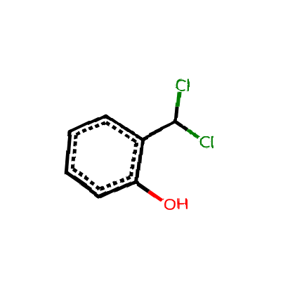 Oc1ccccc1C(Cl)Cl